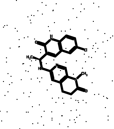 C[C@H](Nc1cc2c(cn1)N(C)C(=O)CC2)c1cc2cc(Cl)ccc2[nH]c1=O